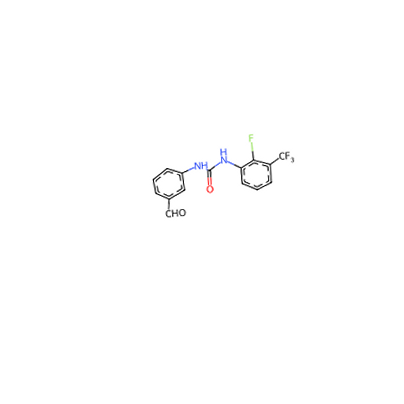 O=Cc1cccc(NC(=O)Nc2cccc(C(F)(F)F)c2F)c1